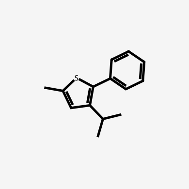 Cc1cc(C(C)C)c(-c2ccccc2)s1